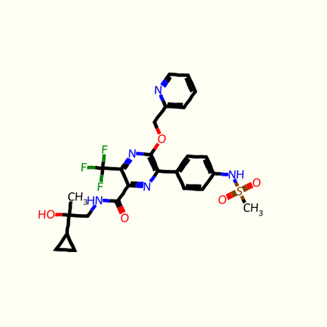 CC(O)(CNC(=O)c1nc(-c2ccc(NS(C)(=O)=O)cc2)c(OCc2ccccn2)nc1C(F)(F)F)C1CC1